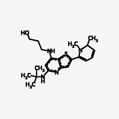 CC1C=CC=C(c2cc3nc(NC(C)(C)C)cc(NCCCO)c3s2)N1C